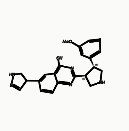 COc1cccc([C@@H]2CNC[C@H]2c2nc(O)c3cc(C4C=NNC4)ccc3n2)c1